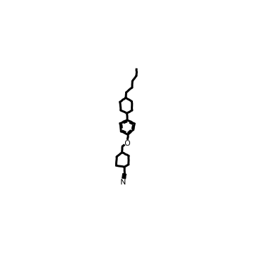 CCCCCC1CCC(c2ccc(OCC3CCC(C#N)CC3)cc2)CC1